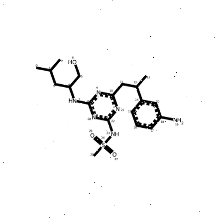 CC(C)CC(CO)Nc1nc(CC(C)c2cccc(N)c2)nc(NS(C)(=O)=O)n1